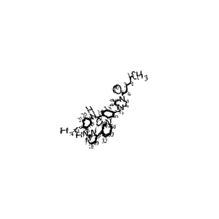 CCCCCC(=O)N1CCN(Cc2ccc(C(=O)Nc3ccc(C)c(Nc4nccc(-c5cccnc5)n4)c3)cc2)CC1